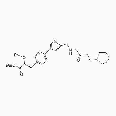 CCO[C@@H](Cc1ccc(-c2csc(CNCC(=O)CCC3CCCCC3)c2)cc1)C(=O)OC